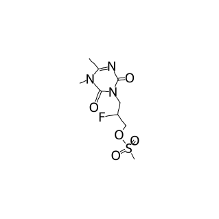 Cc1nc(=O)n(CC(F)COS(C)(=O)=O)c(=O)n1C